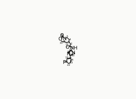 O=C(CC1CCN2C(=O)OCC2C1)Nc1cnc(C2=CC(F)CC=C2)cn1